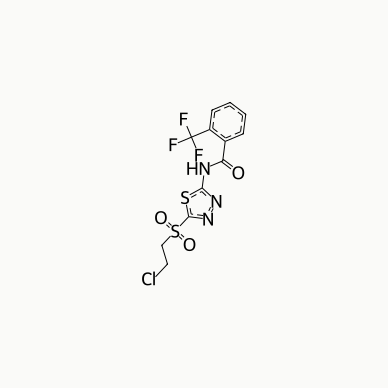 O=C(Nc1nnc(S(=O)(=O)CCCl)s1)c1ccccc1C(F)(F)F